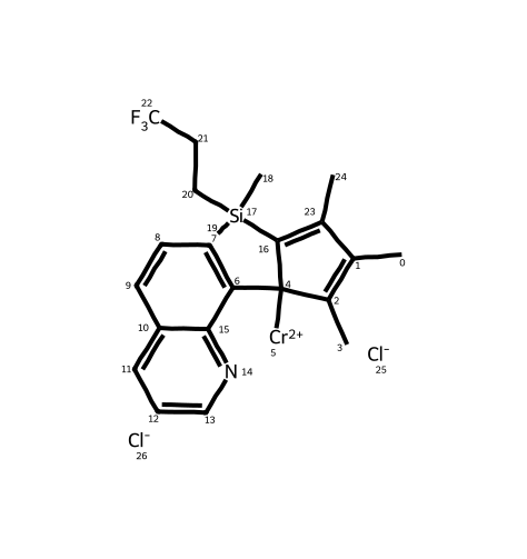 CC1=C(C)[C]([Cr+2])(c2cccc3cccnc23)C([Si](C)(C)CCC(F)(F)F)=C1C.[Cl-].[Cl-]